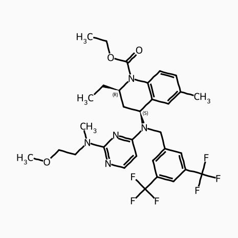 CCOC(=O)N1c2ccc(C)cc2[C@@H](N(Cc2cc(C(F)(F)F)cc(C(F)(F)F)c2)c2ccnc(N(C)CCOC)n2)C[C@H]1CC